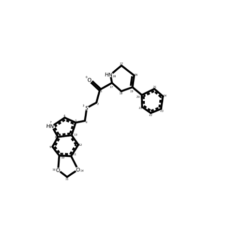 O=C(CSCc1c[nH]c2cc3c(cc12)OCO3)C1CC(c2ccccc2)=CCN1